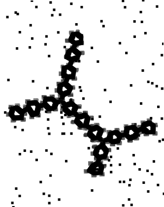 c1ccc(-c2ccc(-c3ccc(-c4ccc(N(c5ccc(-c6ccc(-c7ccccc7)cc6)cc5)c5ccc(-c6ccc(-c7ccc(N(c8ccc(-c9ccccc9)cc8)c8ccc(-c9ccc(-c%10ccccc%10)cc9)cc8)cc7)cc6)cc5)cc4)cc3)cc2)cc1